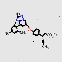 CC#C[C@@H](CC(=O)OCC)c1ccc(OCc2cc(-c3c(C)cc(C#N)cc3C)c3nc(C(C)C)nn3c2)cc1